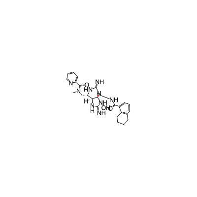 CN(C[C@@H]1NC(=N)N2CC(NC(=O)c3cccc4c3CCCC4)[C@@H](O)C23NC(=N)N[C@@H]13)C(=O)c1ccccn1